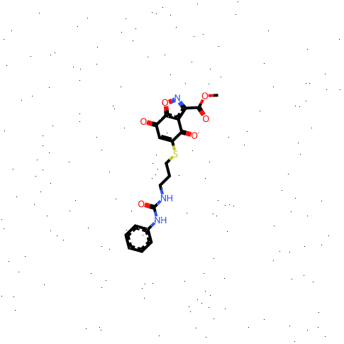 COC(=O)c1noc2c1C(=O)C(SCCCNC(=O)Nc1ccccc1)=CC2=O